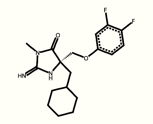 CN1C(=N)N[C@](COc2ccc(F)c(F)c2)(CC2CCCCC2)C1=O